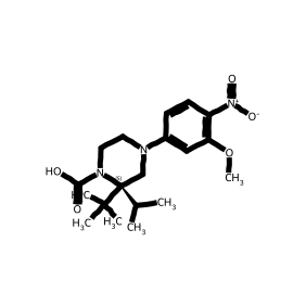 COc1cc(N2CCN(C(=O)O)[C@@](C(C)C)(C(C)(C)C)C2)ccc1[N+](=O)[O-]